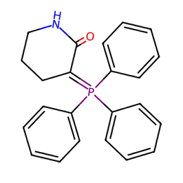 O=C1NCCCC1=P(c1ccccc1)(c1ccccc1)c1ccccc1